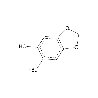 CCCCc1cc2c(cc1O)OCO2